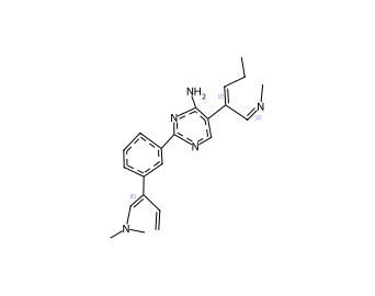 C=C/C(=C\N(C)C)c1cccc(-c2ncc(C(/C=N\C)=C/CC)c(N)n2)c1